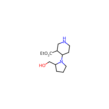 CCOC(=O)C1CNCCC1N1CCCC1CO